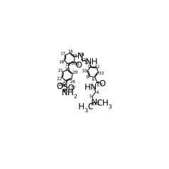 CN(C)CCNC(=O)c1ccc(Nc2nc3cccc(-c4ccc(S(N)(=O)=O)cc4)c3o2)cc1